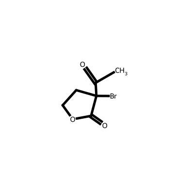 CC(=O)C1(Br)CCOC1=O